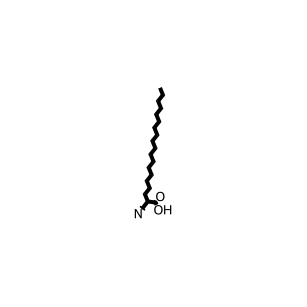 CCCCCCCCCCCCCCCCCC(C#N)C(=O)O